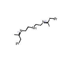 C/C(CC(C)C)=N/CCNCC/N=C(\C)CC(C)C